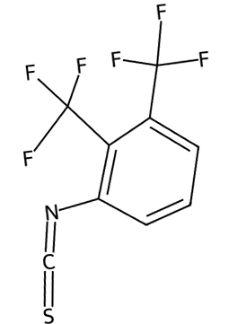 FC(F)(F)c1cccc(N=C=S)c1C(F)(F)F